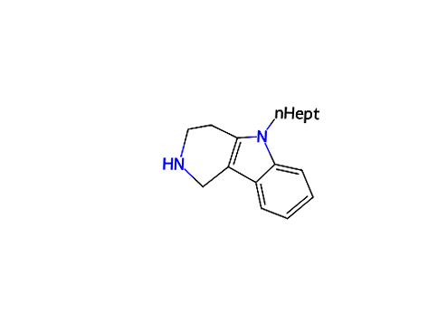 CCCCCCCn1c2c(c3ccccc31)CNCC2